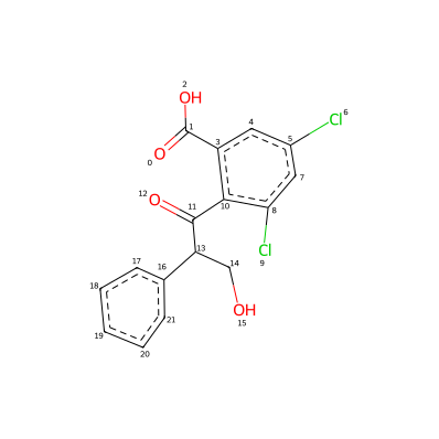 O=C(O)c1cc(Cl)cc(Cl)c1C(=O)C(CO)c1ccccc1